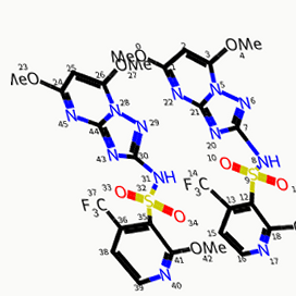 COc1cc(OC)n2nc(NS(=O)(=O)c3c(C(F)(F)F)ccnc3OC)nc2n1.COc1cc(OC)n2nc(NS(=O)(=O)c3c(C(F)(F)F)ccnc3OC)nc2n1